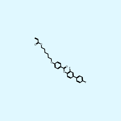 C=CC(=O)OCCCCCCOc1ccc(C(=O)Oc2ccc(-c3ccc(F)cc3)cc2F)cc1